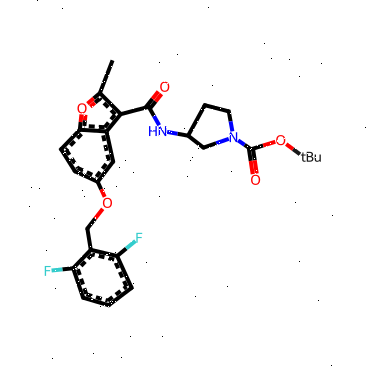 Cc1oc2ccc(OCc3c(F)cccc3F)cc2c1C(=O)NC1CCN(C(=O)OC(C)(C)C)C1